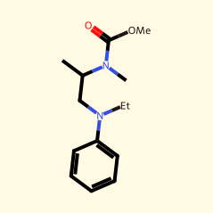 CCN(CC(C)N(C)C(=O)OC)c1ccccc1